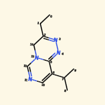 CCC1=NN=C2C(C(C)C)=CN=CN2C1